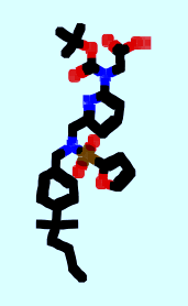 CCCCC(C)(C)c1ccc(CN(Cc2cccc(N(CC(=O)O)C(=O)OC(C)(C)C)n2)S(=O)(=O)c2ccco2)cc1